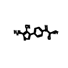 CCCC(=O)Nc1ccc(-c2csc(N)c2C#N)cc1